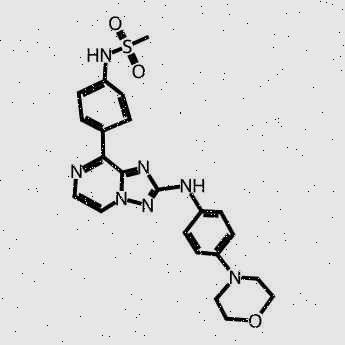 CS(=O)(=O)Nc1ccc(-c2nccn3nc(Nc4ccc(N5CCOCC5)cc4)nc23)cc1